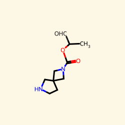 CC(C=O)OC(=O)N1CC2(CCNC2)C1